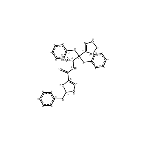 O=C(N[C@H](C(=O)O)C(Cc1ccccc1)(Cc1ccccc1)C1=COCO1)C1=COC(Cc2ccccc2)O1